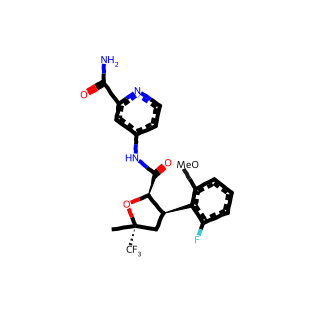 COc1cccc(F)c1[C@H]1C[C@](C)(C(F)(F)F)O[C@H]1C(=O)Nc1ccnc(C(N)=O)c1